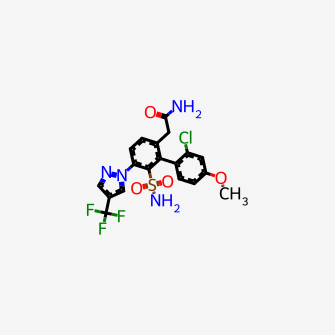 COc1ccc(-c2c(CC(N)=O)ccc(-n3cc(C(F)(F)F)cn3)c2S(N)(=O)=O)c(Cl)c1